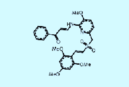 COc1cc(OC)c(C=CS(=O)(=O)Cc2ccc(OC)c(NC=CC(=O)c3ccccc3)n2)c(OC)c1